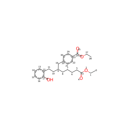 CCOC(=O)CCCCC(CCc1ccccc1O)Cc1ccc(C(=O)OCC)cc1